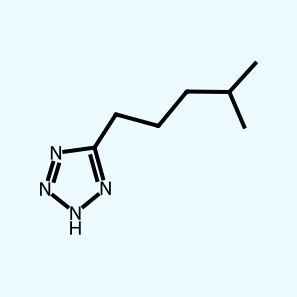 CC(C)CCCc1nn[nH]n1